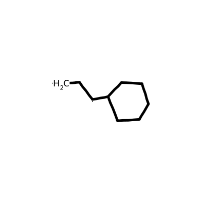 [CH2]C[CH]C1CCCCC1